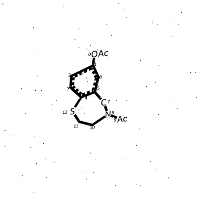 CC(=O)Oc1ccc2c(c1)CN(C(C)=O)CCS2